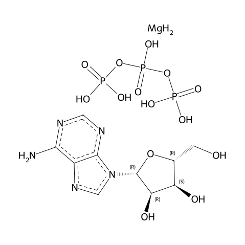 Nc1ncnc2c1ncn2[C@@H]1O[C@H](CO)[C@@H](O)[C@H]1O.O=P(O)(O)OP(=O)(O)OP(=O)(O)O.[MgH2]